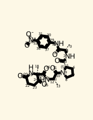 C[C@H](NC(=O)[C@@H]1CCCN1C(=O)[C@H](C)NC(=O)[C@]1(C)NC(=O)CCC1=O)C(=O)Nc1ccc([N+](=O)[O-])cc1